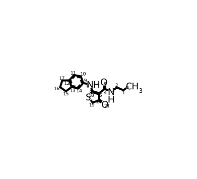 CCCNC(=O)C1=C(Nc2ccc3c(c2)CCC3)SCC1=O